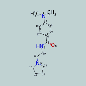 CN(C)c1ccc(C(=O)NCCN2CCCC2)cc1